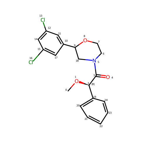 CO[C@@H](C(=O)N1CCOC(c2cc(Cl)cc(Cl)c2)C1)c1ccccc1